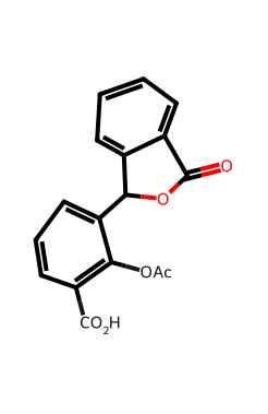 CC(=O)Oc1c(C(=O)O)cccc1C1OC(=O)c2ccccc21